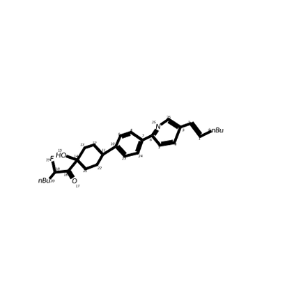 CCCCC=Cc1ccc(-c2ccc(C3CCC(O)(C(=O)C(F)CCCC)CC3)cc2)nc1